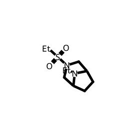 CCN1C2CCC1CN(S(=O)(=O)CC)C2